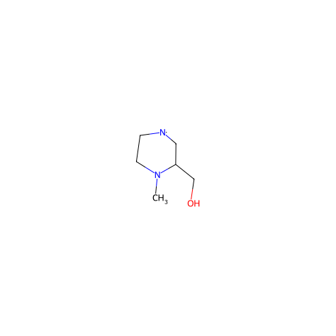 CN1CC[N]CC1CO